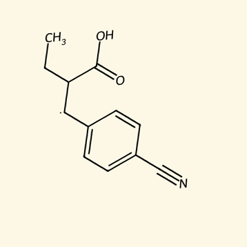 CCC([CH]c1ccc(C#N)cc1)C(=O)O